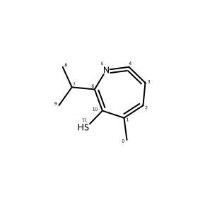 CC1=CC=C=NC(C(C)C)=C1S